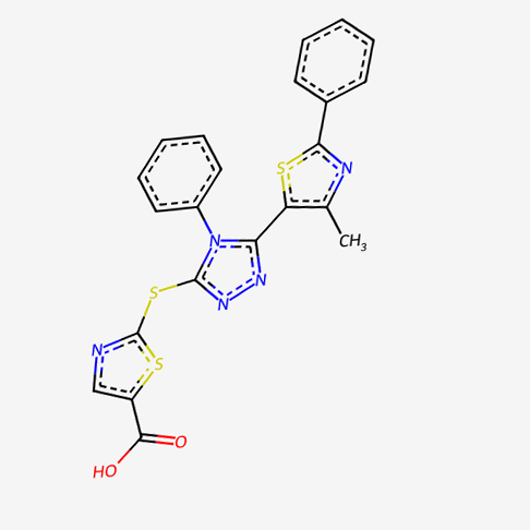 Cc1nc(-c2ccccc2)sc1-c1nnc(Sc2ncc(C(=O)O)s2)n1-c1ccccc1